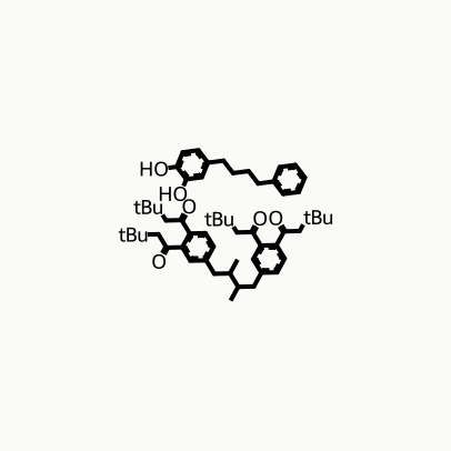 CC(Cc1ccc(C(=O)CC(C)(C)C)c(C(=O)CC(C)(C)C)c1)C(C)Cc1ccc(C(=O)CC(C)(C)C)c(C(=O)CC(C)(C)C)c1.Oc1ccc(CCCCc2ccccc2)cc1O